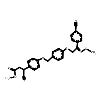 CO/N=C(/COc1ccc(COc2ccc(C(C#N)CC(=O)ON)cc2)cc1)c1ccc(C#N)cc1